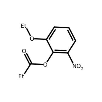 CCOc1cccc([N+](=O)[O-])c1OC(=O)CC